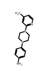 Cc1ccnc(N2CCN(c3ccc(N)cc3)CC2)c1